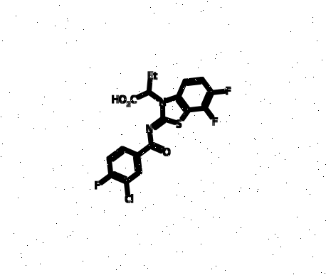 CCC(C(=O)O)n1/c(=N/C(=O)c2ccc(F)c(Cl)c2)sc2c(F)c(F)ccc21